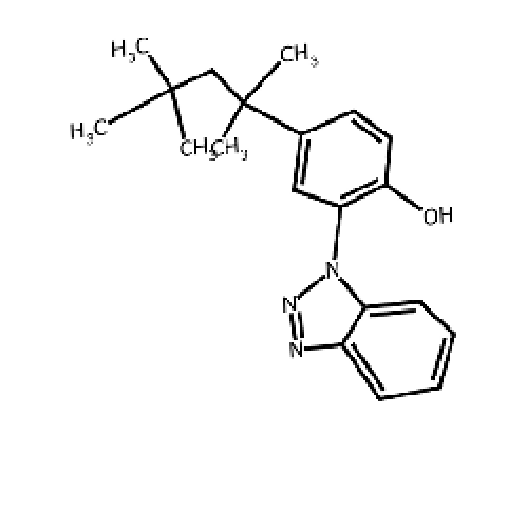 CC(C)(C)CC(C)(C)c1ccc(O)c(-n2nnc3ccccc32)c1